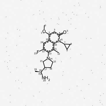 COc1cc(=O)n(C2CC2)c2c(C)c(N3CCC([C@H](C)N)C3)c(F)cc12